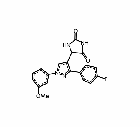 COc1cccc(-n2cc(C3NC(=O)NC3=O)c(-c3ccc(F)cc3)n2)c1